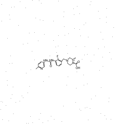 Cc1ccc(NC(=O)Nc2cccc(CN3CCN(C(=O)O)[C@H](C)C3)c2F)cn1